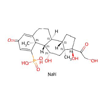 C[C@@]12C(=CC(=O)C=C1P(=O)(O)O)CC[C@@H]1[C@@H]2[C@@H](O)C[C@@]2(C)[C@H]1CC[C@]2(O)C(=O)CO.[NaH]